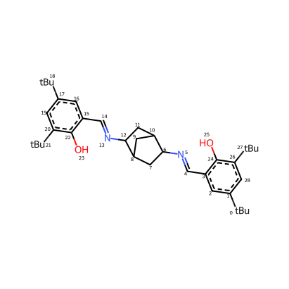 CC(C)(C)c1cc(C=NC2CC3CC2CC3N=Cc2cc(C(C)(C)C)cc(C(C)(C)C)c2O)c(O)c(C(C)(C)C)c1